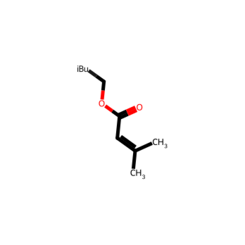 CCC(C)COC(=O)C=C(C)C